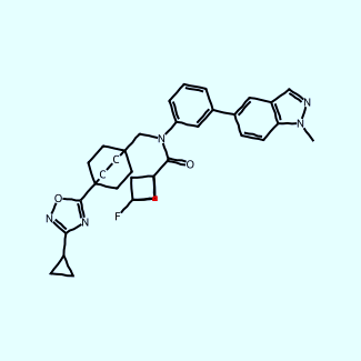 Cn1ncc2cc(-c3cccc(N(CC45CCC(c6nc(C7CC7)no6)(CC4)CC5)C(=O)C45CC(F)(C4)C5)c3)ccc21